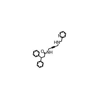 O=C(CC(c1ccccc1)c1ccccc1)NCC#CCNCc1ccccn1